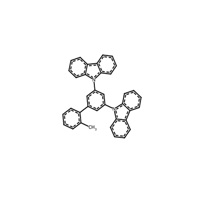 Cc1ccccc1-c1cc(-n2c3ccccc3c3ccccc32)cc(-n2c3ccccc3c3ccccc32)c1